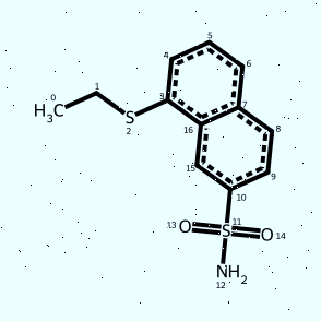 CCSc1cccc2ccc(S(N)(=O)=O)cc12